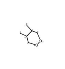 CC1COOCC1C